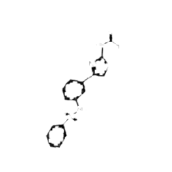 O=C(I)Nc1nc(-c2cccc(NS(=O)(=O)c3ccccc3)c2)cs1